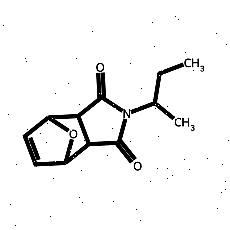 CCC(C)N1C(=O)C2C3C=CC(O3)C2C1=O